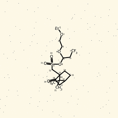 CCOCCOC(CC(F)(F)F)OS(=O)(=O)CC12CCC(CC1=O)C2(C)C